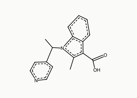 Cc1c(C(=O)O)c2ccccc2n1C(C)c1ccncc1